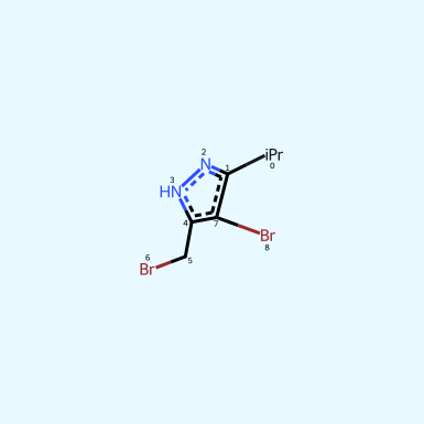 CC(C)c1n[nH]c(CBr)c1Br